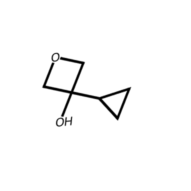 OC1(C2CC2)COC1